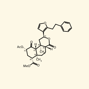 COC(=O)[C@@H]1C[C@H](OC(C)=O)C(=O)[C@H]2[C@@]1(C)CC[C@H]1C(=O)O[C@H](c3ccoc3CCc3ccccc3)C[C@]21C